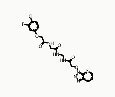 O=C(CNC(=O)COc1ccc(Cl)c(F)c1)NCNC(=O)COn1nnc2cccnc21